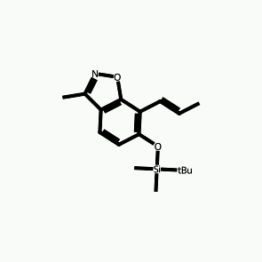 CC=Cc1c(O[Si](C)(C)C(C)(C)C)ccc2c(C)noc12